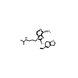 C=CC1=CC2=C(C[C@H]1Sc1nc3c(N)nccc3n1CCCNC(C)C)OCC2